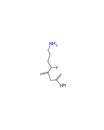 C=C(CCC)CC(=C)C(F)CCCN